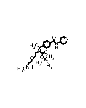 CNCCOCCN(C(=O)OC(C)(C)C)[C@H](C)c1ccc(C(=O)Nc2ccncc2)cc1